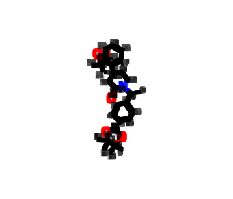 C[C@@H](c1ccc(B2OC(C)(C)C(C)(C)O2)cc1)N1CC[C@](CC(C)(C)O)(c2ccccc2)CC1=O